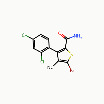 N#Cc1c(Br)sc(C(N)=O)c1-c1ccc(Cl)cc1Cl